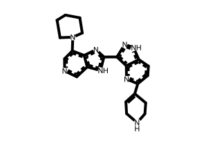 C1=C(c2ccc3[nH]nc(-c4nc5c(N6CCCCC6)cncc5[nH]4)c3n2)CCNC1